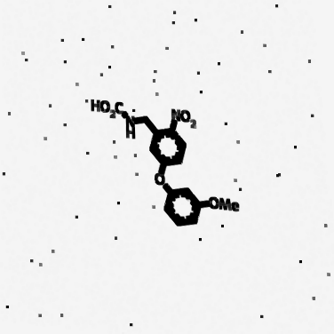 COc1cccc(Oc2ccc([N+](=O)[O-])c(CNC(=O)O)c2)c1